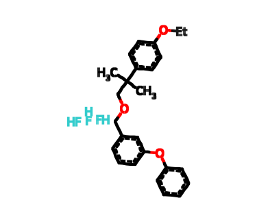 CCOc1ccc(C(C)(C)COCc2cccc(Oc3ccccc3)c2)cc1.F.F.F